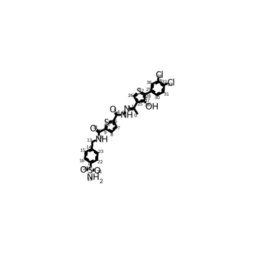 C/C(=N\NC(=O)c1ccc(C(=O)NCc2ccc(S(N)(=O)=O)cc2)s1)c1csc(-c2ccc(Cl)c(Cl)c2)c1O